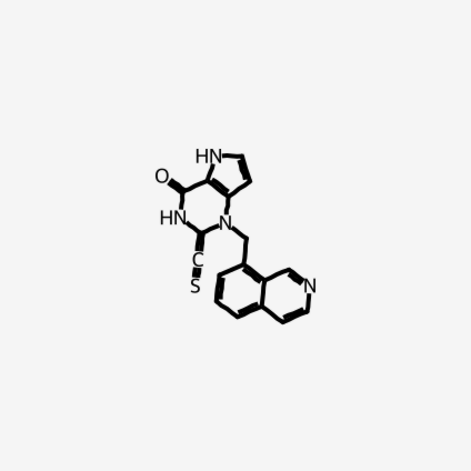 O=C1NC(=C=S)N(Cc2cccc3ccncc23)c2cc[nH]c21